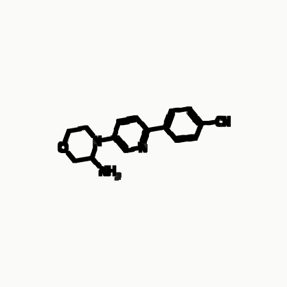 N#Cc1ccc(-c2ccc(N3CCOCC3N)cn2)cc1